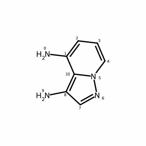 Nc1cccn2ncc(N)c12